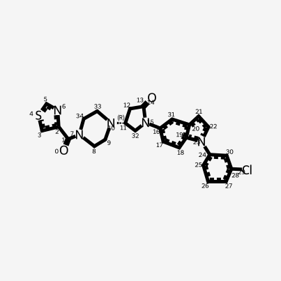 O=C(c1cscn1)N1CCN([C@@H]2CC(=O)N(c3ccc4c(ccn4-c4cccc(Cl)c4)c3)C2)CC1